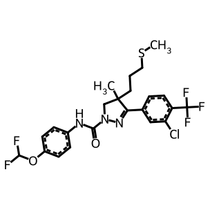 CSCCCC1(C)CN(C(=O)Nc2ccc(OC(F)F)cc2)N=C1c1ccc(C(F)(F)F)c(Cl)c1